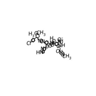 CN1CCN(C(=O)C[C@H]2Cc3cc(S(=O)(=O)NC(=O)c4ccc(N5CCN(CC6=C(c7ccc(Cl)cc7)CC(C)(C)CC6)CC5)cc4Oc4cnc5[nH]ccc5c4)cc([N+](=O)[O-])c3N2)CC1